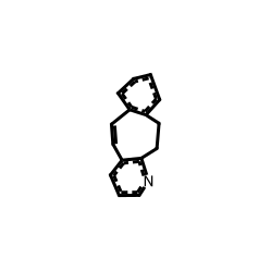 C1=C\c2cccnc2CCc2ccccc2/1